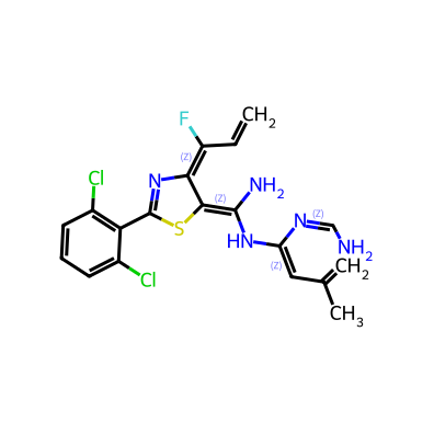 C=C/C(F)=c1/nc(-c2c(Cl)cccc2Cl)s/c1=C(/N)NC(=C/C(=C)C)/N=C\N